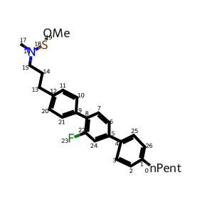 CCCCCc1ccc(-c2ccc(-c3ccc(CCCN(C)SOC)cc3)c(F)c2)cc1